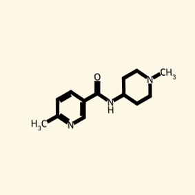 Cc1ccc(C(=O)NC2CCN(C)CC2)cn1